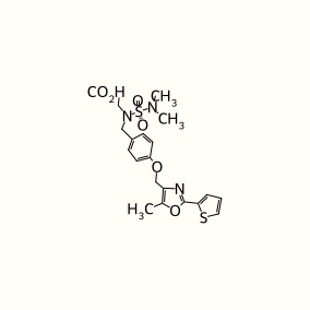 Cc1oc(-c2cccs2)nc1COc1ccc(CN(CC(=O)O)S(=O)(=O)N(C)C)cc1